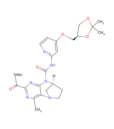 COC(=O)c1nc(C)c2c(n1)N(C(=O)Nc1cc(OC[C@H]3COC(C)(C)O3)ccn1)[C@H]1CCN2C1